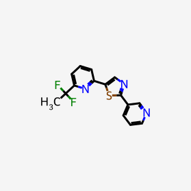 CC(F)(F)c1cccc(-c2cnc(-c3cccnc3)s2)n1